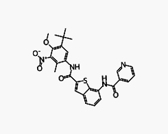 COc1c(C(C)(C)C)cc(NC(=O)c2cc3cccc(NC(=O)c4cccnc4)c3s2)c(C)c1[N+](=O)[O-]